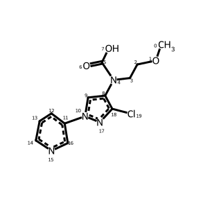 COCCN(C(=O)O)c1cn(-c2cccnc2)nc1Cl